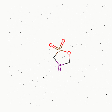 O=S1(=O)CPCO1